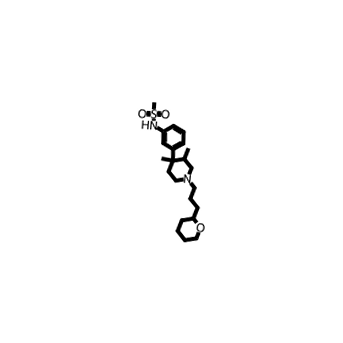 CC1CN(CCCC2CCCCO2)CCC1(C)c1cccc(NS(C)(=O)=O)c1